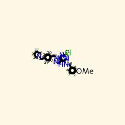 COc1cccc(CNc2nc(Cl)nc3c2cnn3Cc2ccc(CN3CCCC3)cc2)c1